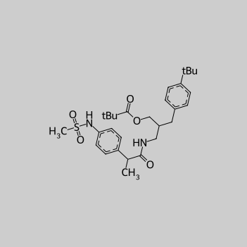 CC(C(=O)NCC(COC(=O)C(C)(C)C)Cc1ccc(C(C)(C)C)cc1)c1ccc(NS(C)(=O)=O)cc1